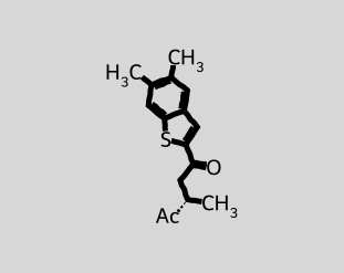 CC(=O)[C@@H](C)CC(=O)c1cc2cc(C)c(C)cc2s1